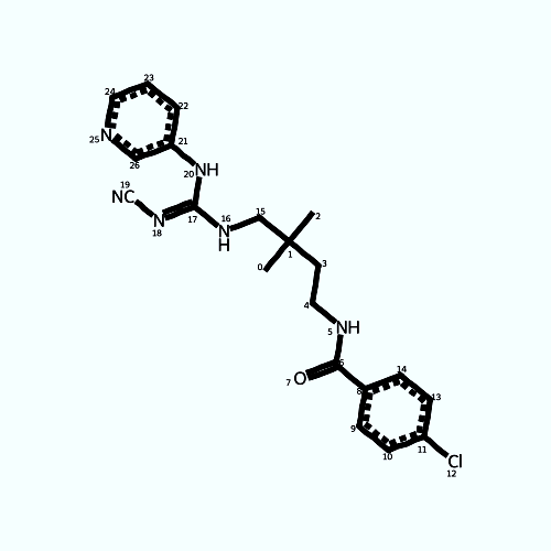 CC(C)(CCNC(=O)c1ccc(Cl)cc1)CNC(=NC#N)Nc1cccnc1